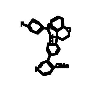 COc1ccncc1-c1ccc([C@@]2(NC(=O)c3ccc(F)cc3)CCOc3cccnc32)cc1